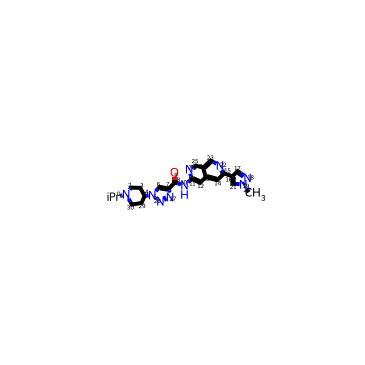 CC(C)N1CCC(n2cc(C(=O)Nc3cc4cc(-c5cnn(C)c5)ncc4cn3)nn2)CC1